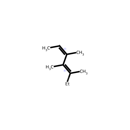 C/[C]=C(C)\C(C)=C(/C)CC